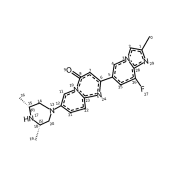 Cc1cn2cc(-c3cc(=O)n4cc(N5C[C@@H](C)N[C@@H](C)C5)ccc4n3)cc(F)c2n1